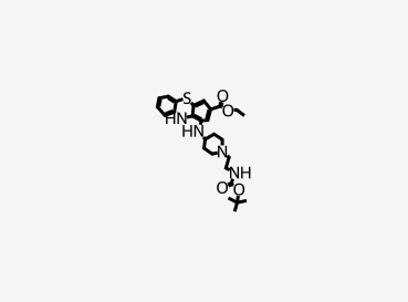 CCOC(=O)c1cc(NC2CCN(CCNC(=O)OC(C)(C)C)CC2)c2c(c1)Sc1ccccc1N2